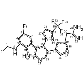 CCNc1cc(F)cc2c1[nH]c1ncc(-c3cncc(CC(=N)N)c3)c(-n3ccc(C(F)(F)F)n3)c12